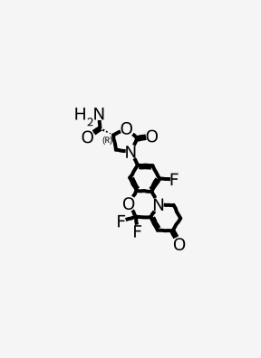 NC(=O)[C@H]1CN(c2cc(F)c3c(c2)OC(F)(F)C2=CC(=O)CCN23)C(=O)O1